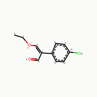 CCOC=C(C=O)c1ccc(Cl)cc1